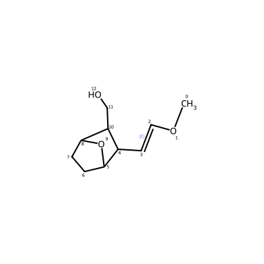 CO/C=C/C1C2CCC(O2)C1CO